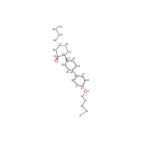 CCCCCOc1ccc(-c2ccc([C@@H]3CC[C@@H](CCCC)CC3=O)cc2)cc1